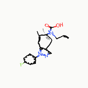 C=CCN(C(=O)O)[C@@]1(C)Cc2cnn(-c3ccc(F)cc3)c2C=C1C